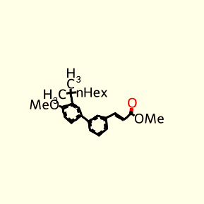 CCCCCCC(C)(C)c1cc(-c2cccc(/C=C/C(=O)OC)c2)ccc1OC